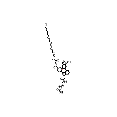 Cn1ncc2cc(F)c(-c3cccc4c3c(C3CCN(C(=O)CCC(=O)NCCOCCOCCOCCOCCCCCCCl)CC3)nn4CC(=O)NCC(=O)NCC(=O)O)cc21